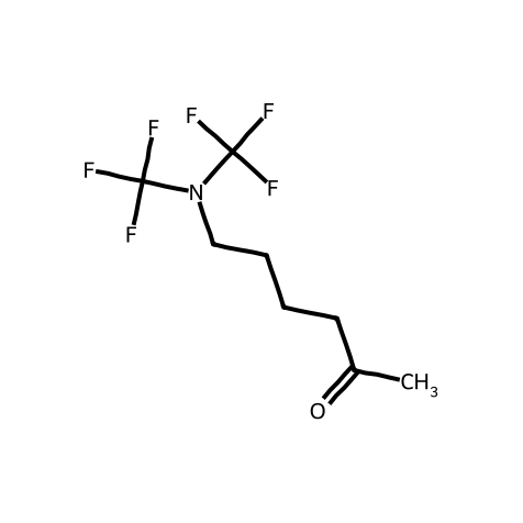 CC(=O)CCCCN(C(F)(F)F)C(F)(F)F